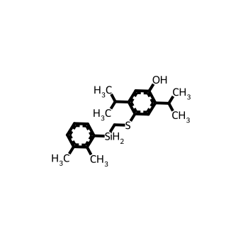 Cc1cccc([SiH2]CSc2cc(C(C)C)c(O)cc2C(C)C)c1C